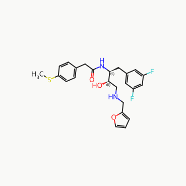 CSc1ccc(CC(=O)N[C@@H](Cc2cc(F)cc(F)c2)[C@H](O)CNCc2ccco2)cc1